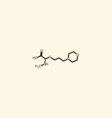 CN[C@H](SCCCN1CCOCC1)C(=O)O